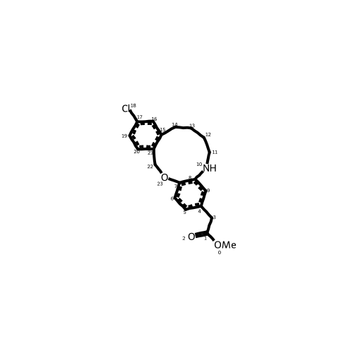 COC(=O)Cc1ccc2c(c1)NCCCCc1cc(Cl)ccc1CO2